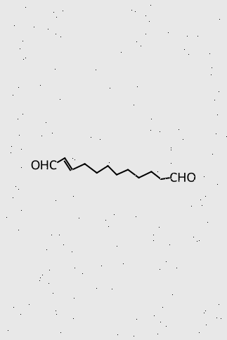 O=CC=CCCCCCCCCC=O